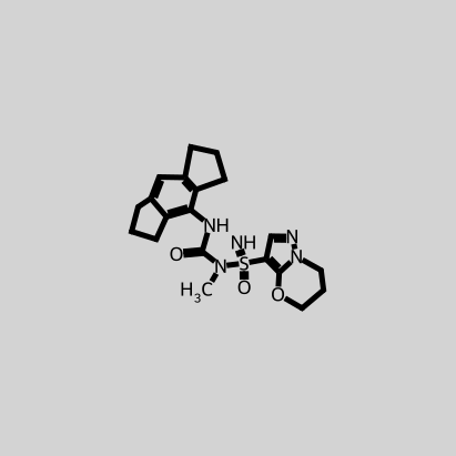 CN(C(=O)Nc1c2c(cc3c1CCC3)CCC2)S(=N)(=O)c1cnn2c1OCCC2